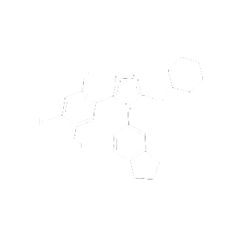 CC(C)c1cc(-c2nnc(OC3CCCCC3)n2-c2ccc3c(c2)CCC3)c(O)cc1O